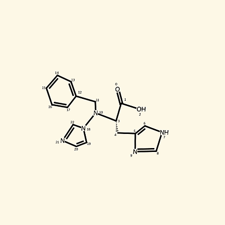 O=C(O)[C@H](Cc1c[nH]cn1)N(Cc1ccccc1)n1ccnc1